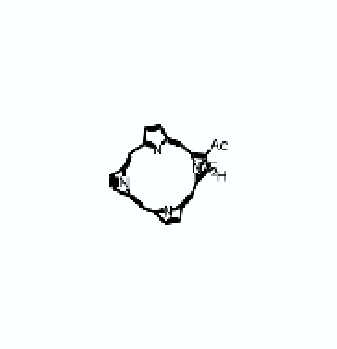 [2H]c1c(C(C)=O)c2cc3nc(cc4ccc(cc5nc(cc1n2C(C)=O)C=C5)[nH]4)C=C3